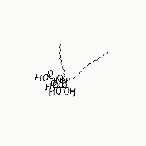 CCCCCCCCCCCCCCCCCCN(C(=O)CCCCCCCCCCCCC)[C@@H]1O[C@H](CO)[C@H](O)[C@H](O)[C@@H]1NC(=O)CCC(=O)O